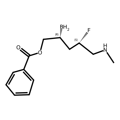 B[C@@H](COC(=O)c1ccccc1)C[C@H](F)CNC